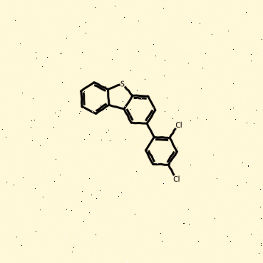 Clc1ccc(-c2ccc3sc4ccccc4c3c2)c(Cl)c1